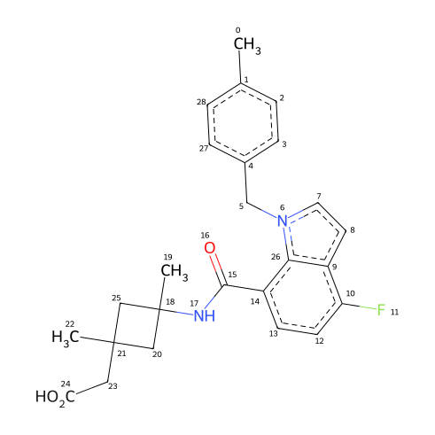 Cc1ccc(Cn2ccc3c(F)ccc(C(=O)NC4(C)CC(C)(CC(=O)O)C4)c32)cc1